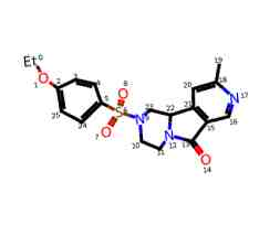 CCOc1ccc(S(=O)(=O)N2CCN3C(=O)c4cnc(C)cc4C3C2)cc1